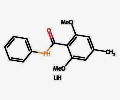 COc1cc(C)cc(OC)c1C(=O)Pc1ccccc1.[LiH]